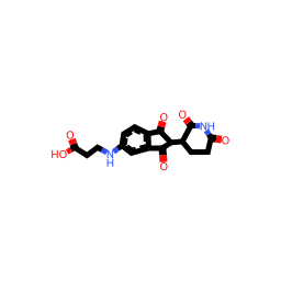 O=C(O)CCNc1ccc2c(c1)C(=O)C(C1CCC(=O)NC1=O)C2=O